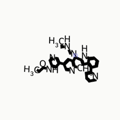 CCNC/N=C(/c1cc2c(-c3ccccn3)cccc2[nH]1)c1cc(-c2cncc(NC(=O)CC)c2)cnc1C